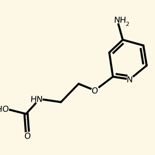 Nc1ccnc(OCCNC(=O)O)c1